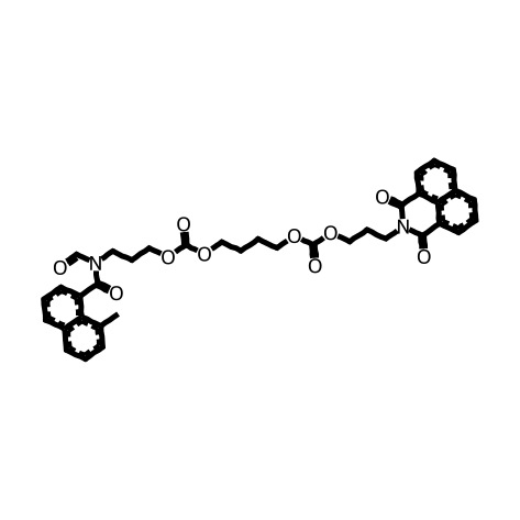 Cc1cccc2cccc(C(=O)N(C=O)CCCOC(=O)OCCCCOC(=O)OCCCN3C(=O)c4cccc5cccc(c45)C3=O)c12